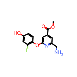 COC(=O)c1cc(CN)nc(Oc2ccc(O)cc2F)c1